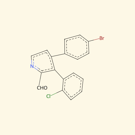 O=Cc1nccc(-c2ccc(Br)cc2)c1-c1ccccc1Cl